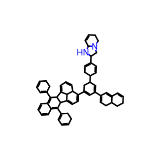 C1=CCCC(C2=c3ccccc3=C(C3=CC=CCC3)C3C4=CC=C(C5=CC(C6=CCC7CCC=CC7=C6)=CC(C6C=CC(C7CN8CCC=CC8N7)=CC6)C5)C5C=CC=C(C45)C23)=C1